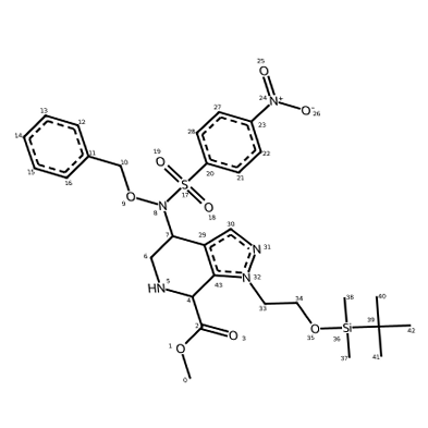 COC(=O)C1NCC(N(OCc2ccccc2)S(=O)(=O)c2ccc([N+](=O)[O-])cc2)c2cnn(CCO[Si](C)(C)C(C)(C)C)c21